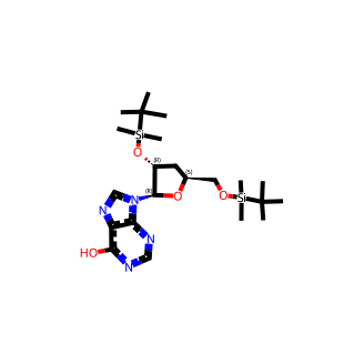 CC(C)(C)[Si](C)(C)OC[C@@H]1C[C@@H](O[Si](C)(C)C(C)(C)C)[C@H](n2cnc3c(O)ncnc32)O1